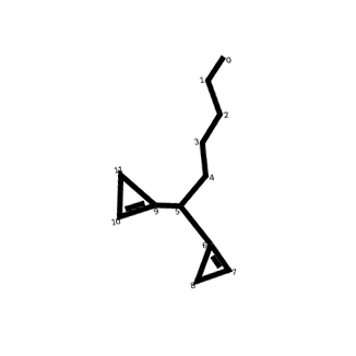 CCCCCC(C1=CC1)C1=CC1